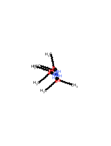 CCCCCCCCCCCCOc1ccc(Nc2nc(Nc3ccc(OCCCCCCCCCCCC)c(OCCCCCCCCCCCC)c3)nc(Nc3ccc(OCCCCCCCCCCCC)c(OCCCCCCCCCCCC)c3)n2)cc1OCCCCCCCCCCCC